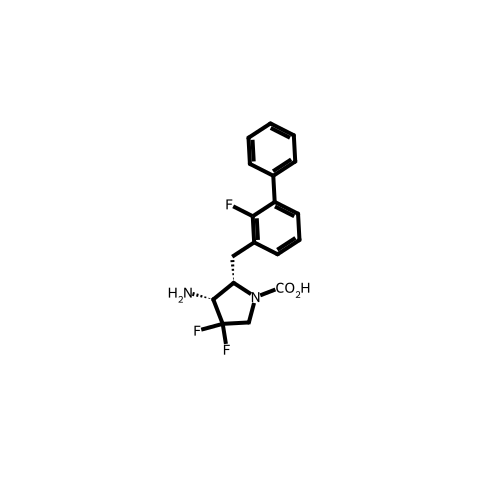 N[C@@H]1[C@H](Cc2cccc(-c3ccccc3)c2F)N(C(=O)O)CC1(F)F